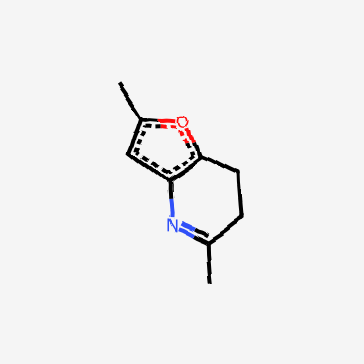 CC1=Nc2cc(C)oc2CC1